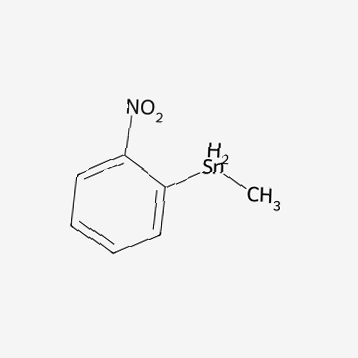 [CH3][SnH2][c]1ccccc1[N+](=O)[O-]